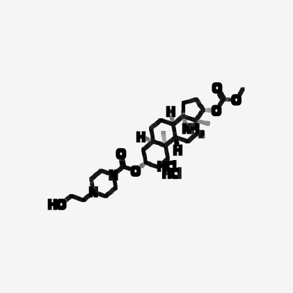 COC(=O)O[C@H]1CC[C@]2(N)[C@@H]3CC[C@@H]4C[C@@H](OC(=O)N5CCN(CCO)CC5)CC[C@]4(C)[C@H]3CC[C@]12C.Cl.Cl